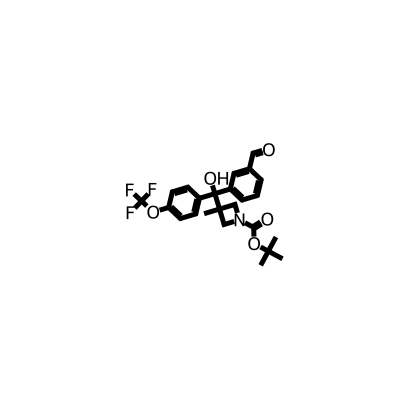 CC(C)(C)OC(=O)N1CC(C)(C(O)(c2ccc(OC(F)(F)F)cc2)c2cccc(C=O)c2)C1